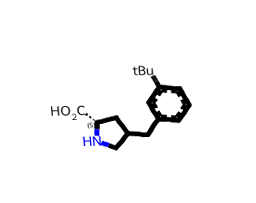 CC(C)(C)c1cccc(CC2CN[C@H](C(=O)O)C2)c1